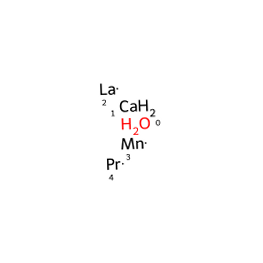 O.[CaH2].[La].[Mn].[Pr]